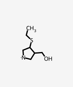 CCSC1C[N]CC1CO